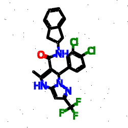 CC1=C(C(=O)NC2Cc3ccccc3C2)C(c2ccc(Cl)c(Cl)c2)n2nc(C(F)(F)F)cc2N1